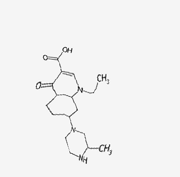 CCN1C=C(C(=O)O)C(=O)C2CCC(N3CCNC(C)C3)CC21